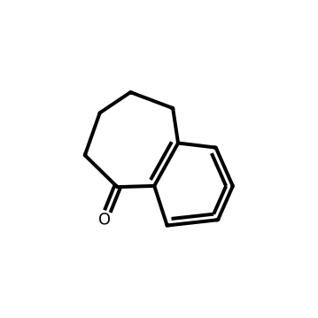 O=C1CCCCC2=C1C=C=C=C2